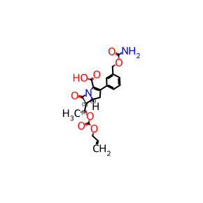 C=CCOC(=O)O[C@H](C)[C@H]1C(=O)N2C(C(=O)O)=C(c3cccc(COC(N)=O)c3)C[C@H]12